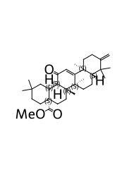 C=C1CC[C@]2(C)C3=CC(=O)[C@@H]4[C@@H]5CC(C)(C)CC[C@]5(C(=O)OC)CC[C@@]4(C)[C@]3(C)CC[C@H]2C1(C)C